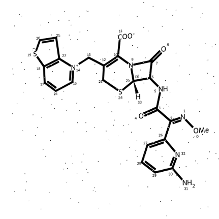 CON=C(C(=O)NC1C(=O)N2C(C(=O)[O-])=C(C[n+]3cccc4sccc43)CS[C@@H]12)c1cccc(N)n1